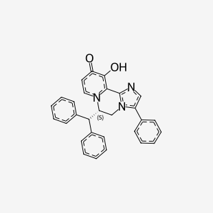 O=c1ccn2c(c1O)-c1ncc(-c3ccccc3)n1C[C@@H]2C(c1ccccc1)c1ccccc1